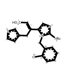 CCCCc1ncc(/C(=C/C(=O)O)Cc2ccsc2)n1Cc1ccccc1Cl